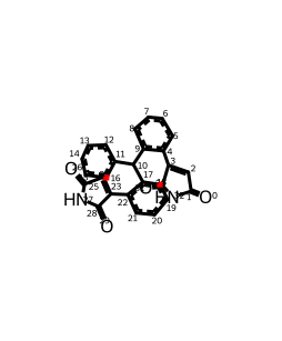 O=C1C=C(c2ccccc2C(c2ccccc2)c2ccccc2C2=CC(=O)NC2=O)C(=O)N1